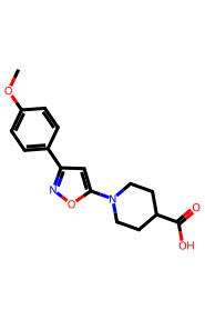 COc1ccc(-c2cc(N3CCC(C(=O)O)CC3)on2)cc1